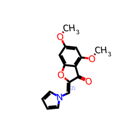 COc1cc(OC)c2c(c1)O/C(=C\n1cccc1)C2=O